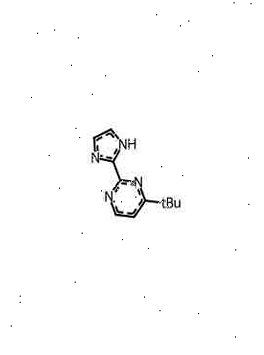 CC(C)(C)c1ccnc(-c2ncc[nH]2)n1